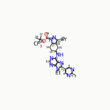 CCn1c(-c2cnc(C)nc2)nc2c(NC3CCc4c(c(C(C)C)nn4C(=O)OC(C)(C)C(F)(F)F)C3)ncnc21